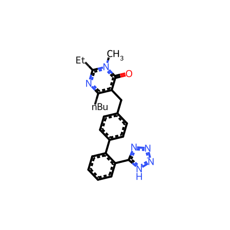 CCCCc1nc(CC)n(C)c(=O)c1Cc1ccc(-c2ccccc2-c2nnn[nH]2)cc1